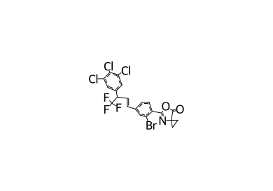 O=C1OC(c2ccc(C=CC(c3cc(Cl)c(Cl)c(Cl)c3)C(F)(F)F)cc2Br)=NC12CC2